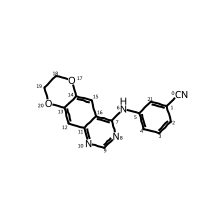 N#Cc1cccc(Nc2ncnc3cc4c(cc23)OCCO4)c1